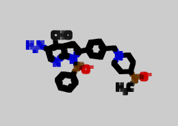 C[S+]([O-])C1CCN(Cc2ccc(-c3cc4c(C=O)c(N)cnc4n3[S+]([O-])c3ccccc3)cc2)CC1